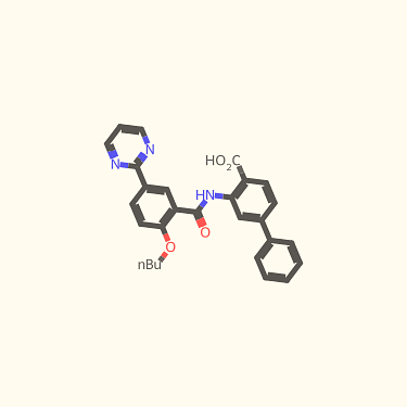 CCCCOc1ccc(-c2ncccn2)cc1C(=O)Nc1cc(-c2ccccc2)ccc1C(=O)O